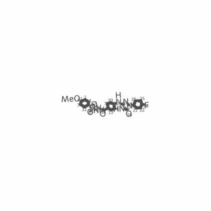 COc1ccc(S(=O)(=O)NNC(=O)c2ccc(Nc3nn(-c4ccc(F)cc4)c(=O)[nH]3)cc2)cc1